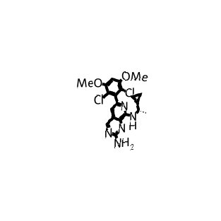 COc1cc(OC)c(Cl)c(-c2cc3cnc(N)nc3c(N[C@@H](C)C3CC3)n2)c1Cl